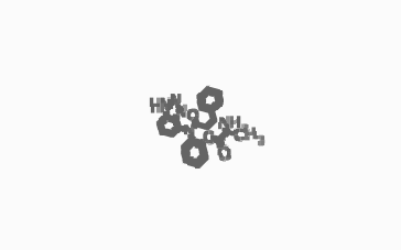 C[C@H](N)C(=O)Oc1ccccc1N(C(=O)CCc1ccccc1)c1cccc2[nH]nnc12